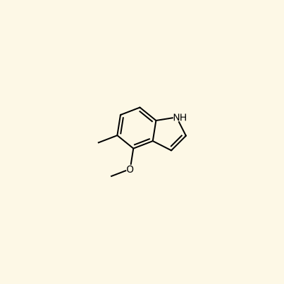 COc1c(C)ccc2[nH]ccc12